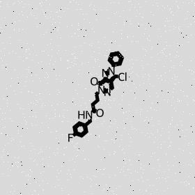 O=C(CCCn1ncc2c(Cl)n(-c3ccccc3)nc2c1=O)NCc1ccc(F)cc1